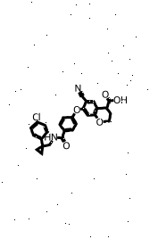 N#Cc1cc2c(cc1Oc1ccc(C(=O)NCC3(c4ccc(Cl)cc4)CC3)cc1)OCCC2C(=O)O